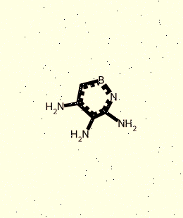 Nc1cbnc(N)c1N